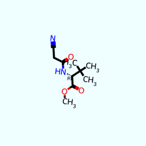 COC(=O)[C@H](NC(=O)CC#N)C(C)(C)C